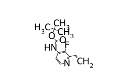 C=Cc1nccc(NC(=O)OC(C)(C)C)c1F